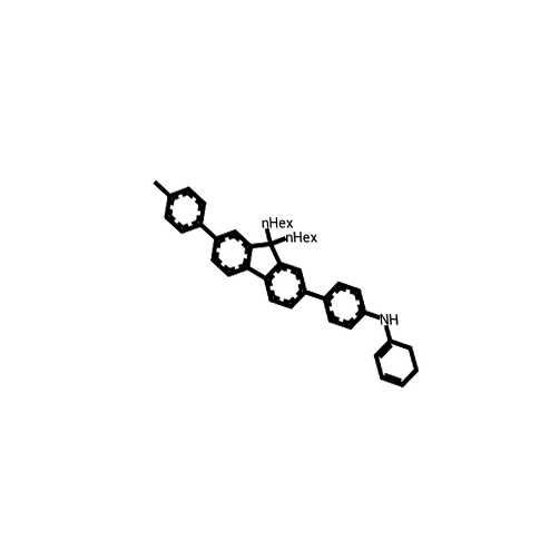 CCCCCCC1(CCCCCC)c2cc(-c3ccc(C)cc3)ccc2-c2ccc(-c3ccc(NC4=CC=CCC4)cc3)cc21